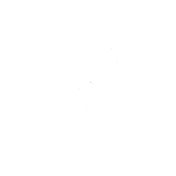 CC(Nn1ccc2ccccc21)C(=O)O